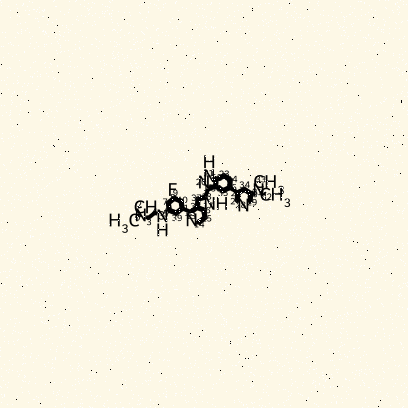 CN(C)CCNc1cc(F)cc(-c2nccc3[nH]c(-c4n[nH]c5ccc(-c6cncc(N(C)C)c6)cc45)cc23)c1